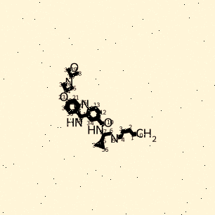 C=C/C=C\C=N/CC(NC(=O)c1ccc(N)c(C(=N)c2ccc(OC3CN(C4COC4)C3)cc2)c1)C1CC1